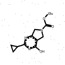 CC(C)(C)OC(=O)N1Cc2nc(C3CC3)nc(O)c2C1